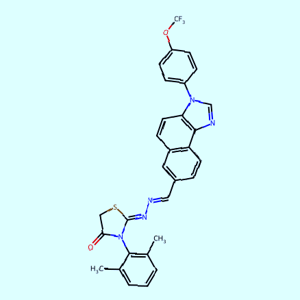 Cc1cccc(C)c1N1C(=O)CSC1=NN=Cc1ccc2c(ccc3c2ncn3-c2ccc(OC(F)(F)F)cc2)c1